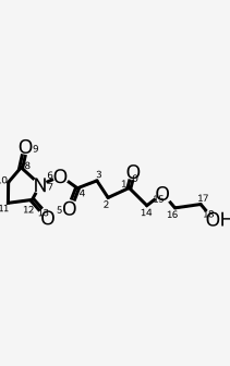 O=C(CCC(=O)ON1C(=O)CCC1=O)COCCO